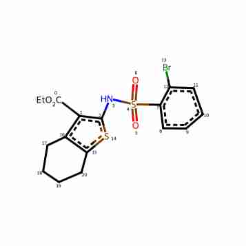 CCOC(=O)c1c(NS(=O)(=O)c2ccccc2Br)sc2c1CCCC2